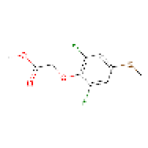 COC(=O)COc1c(F)cc(SC)cc1F